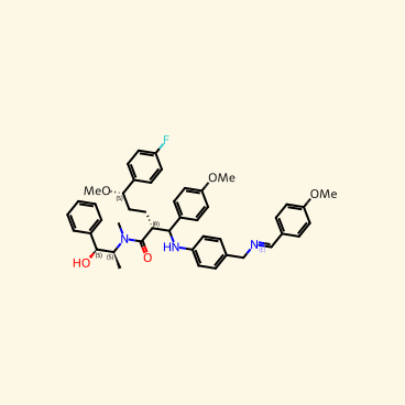 COc1ccc(/C=N/Cc2ccc(NC(c3ccc(OC)cc3)[C@@H](CC[C@H](OC)c3ccc(F)cc3)C(=O)N(C)[C@@H](C)[C@@H](O)c3ccccc3)cc2)cc1